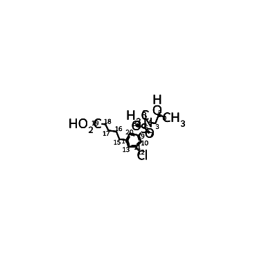 C[C@H](O)CN(C)S(=O)(=O)c1cc(Cl)cc(CCCCC(=O)O)c1